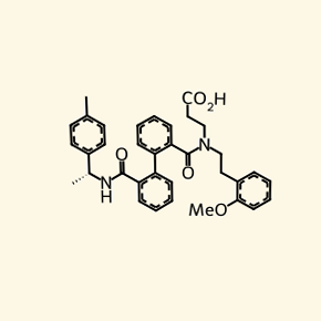 COc1ccccc1CCN(CCC(=O)O)C(=O)c1ccccc1-c1ccccc1C(=O)N[C@H](C)c1ccc(C)cc1